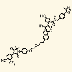 Cc1ncsc1-c1ccc(CNC(=O)[C@@H]2C[C@@H](O)CN2C(=O)[C@H](C(C)C)N2Cc3cc(CCCOCCOc4ccc(N5C(=S)N(c6ccc(C#N)c(C(F)(F)F)c6)C(=O)C5(C)C)cc4)ccc3C2=O)cc1